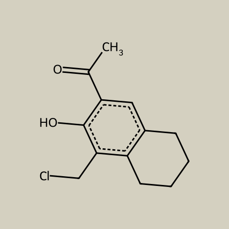 CC(=O)c1cc2c(c(CCl)c1O)CCCC2